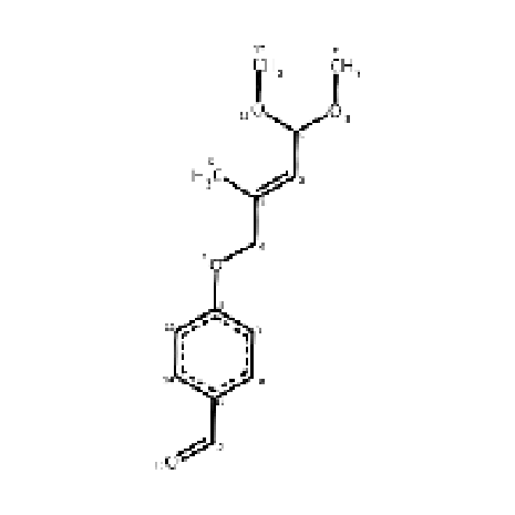 COC(/C=C(\C)COc1ccc(C=O)cc1)OC